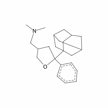 CN(C)CC1COC(c2ccccc2)(C23CC4CC(CC(C4)C2)C3)C1